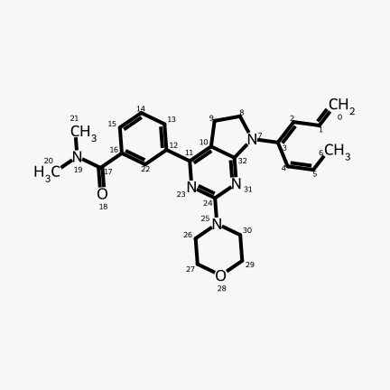 C=C/C=C(\C=C/C)N1CCc2c(-c3cccc(C(=O)N(C)C)c3)nc(N3CCOCC3)nc21